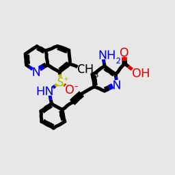 Cc1ccc2cccnc2c1[S+]([O-])Nc1ccccc1C#Cc1cnc(C(=O)O)c(N)c1